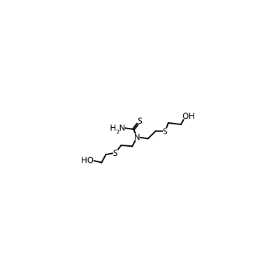 NC(=S)N(CCSCCO)CCSCCO